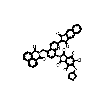 O=C1c2cc3ccccc3cc2C(=O)C1c1ccc2c(CN3C(=O)c4cccc5cccc(c45)C3=O)ccc(N3C(=O)c4c(Cl)c(Cl)c(SC5CCCC5)c(Cl)c4C3=O)c2n1